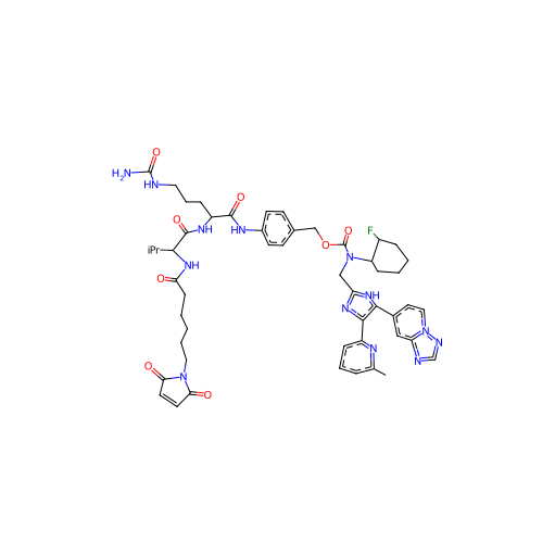 Cc1cccc(-c2nc(CN(C(=O)OCc3ccc(NC(=O)C(CCCNC(N)=O)NC(=O)C(NC(=O)CCCCCN4C(=O)C=CC4=O)C(C)C)cc3)C3CCCCC3F)[nH]c2-c2ccn3ncnc3c2)n1